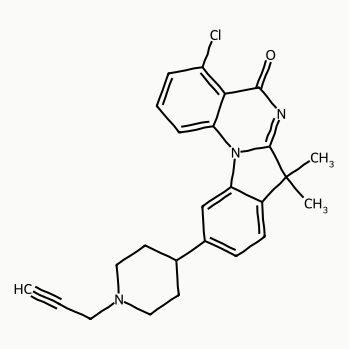 C#CCN1CCC(c2ccc3c(c2)-n2c(nc(=O)c4c(Cl)cccc42)C3(C)C)CC1